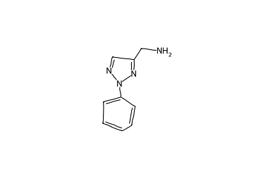 NCc1cnn(-c2ccccc2)n1